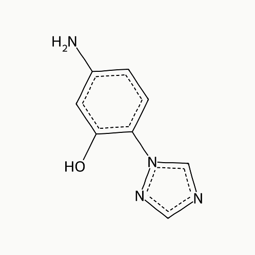 Nc1ccc(-n2cncn2)c(O)c1